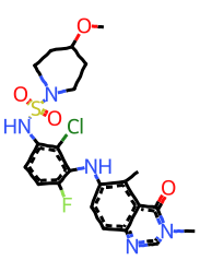 COC1CCN(S(=O)(=O)Nc2ccc(F)c(Nc3ccc4ncn(C)c(=O)c4c3C)c2Cl)CC1